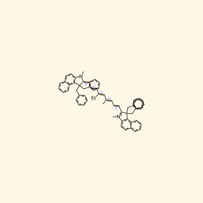 CCC(/C=C/C=C1/N(C)c2ccc3ccccc3c2C1(Cc1ccccc1)Cc1ccccc1)=C\C(C)=C\C=C\C1=[N+](C)c2ccc3ccccc3c2C1(Cc1ccccc1)Cc1ccccc1